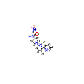 Cc1cnc(-c2nc(N3CCC(NC(=O)CN=O)CC3)ccc2C)c(C)c1